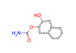 NC(=O)Oc1cc2ccccc2cc1O